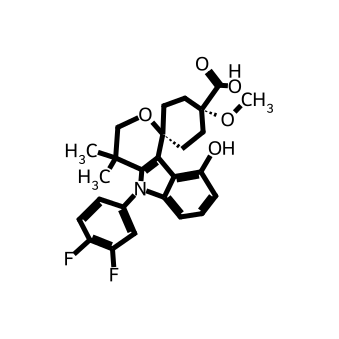 CO[C@]1(C(=O)O)CC[C@@]2(CC1)OCC(C)(C)c1c2c2c(O)cccc2n1-c1ccc(F)c(F)c1